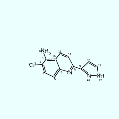 Nc1c(Cl)ccc2nc(-c3cc[nH]n3)ccc12